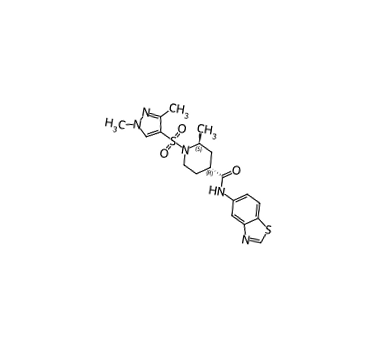 Cc1nn(C)cc1S(=O)(=O)N1CC[C@@H](C(=O)Nc2ccc3scnc3c2)C[C@@H]1C